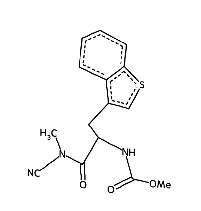 COC(=O)NC(Cc1csc2ccccc12)C(=O)N(C)C#N